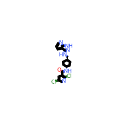 O=C(N[C@H]1CC[C@H](CNc2n[nH]c3ncccc23)CC1)c1cc(Cl)cnc1Cl